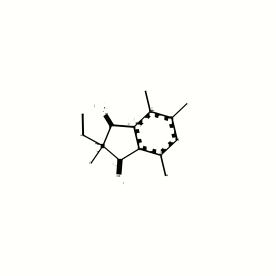 CCC1(C)C(=O)c2c(C)cc(C)c(C)c2C1=O